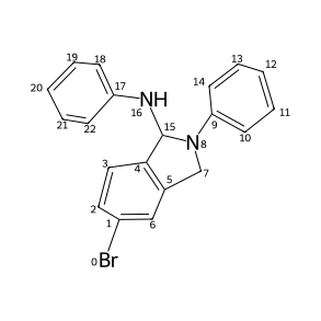 Brc1ccc2c(c1)CN(c1ccccc1)C2Nc1ccccc1